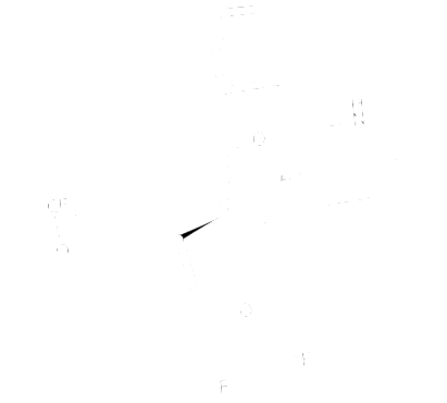 FC(F)Oc1ccc(OC(F)(F)F)cc1[C@H]1CO[C@]2(CCCN[C@H]2c2ccccc2)C1